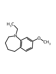 CCN1CCCCc2ccc(OC)cc21